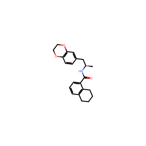 C[C@H](Cc1ccc2c(c1)OCCO2)NC(=O)c1cccc2c1CCCC2